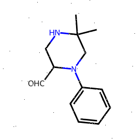 CC1(C)CN(c2ccccc2)C(C=O)CN1